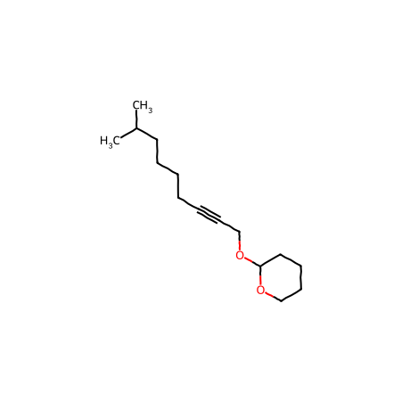 CC(C)CCCCC#CCOC1CCCCO1